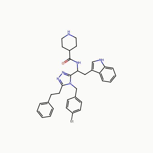 CCc1ccc(Cn2c(CCc3ccccc3)nnc2C(Cc2c[nH]c3ccccc23)NC(=O)C2CCNCC2)cc1